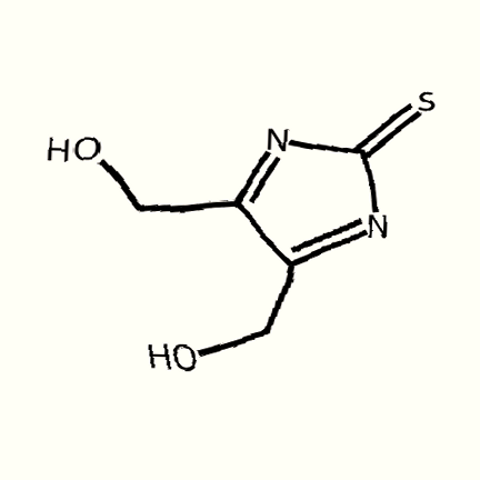 OCC1=NC(=S)N=C1CO